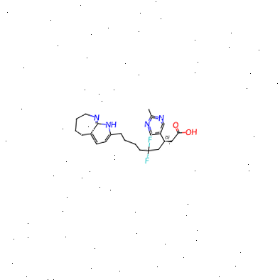 Cc1ncc([C@@H](CC(=O)O)CC(F)(F)CCCCC2=CC=C3CCCCN=C3N2)cn1